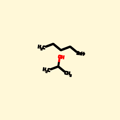 CC(C)O.CCC[CH2][SnH]